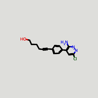 Nc1nnc(Cl)cc1-c1ccc(C#CCCCCO)cc1